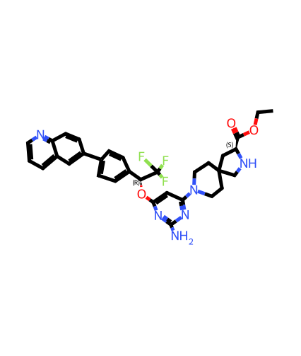 CCOC(=O)[C@@H]1CC2(CCN(c3cc(O[C@H](c4ccc(-c5ccc6ncccc6c5)cc4)C(F)(F)F)nc(N)n3)CC2)CN1